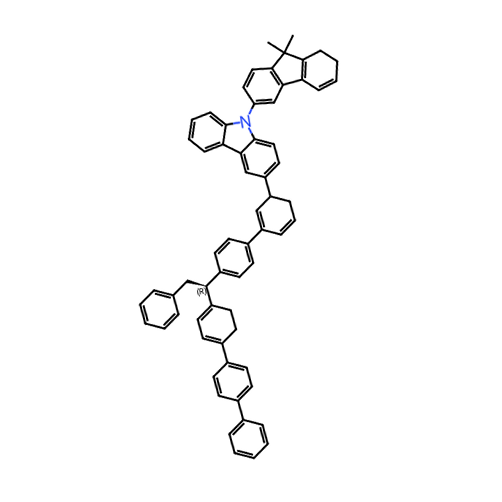 CC1(C)C2=C(C=CCC2)c2cc(-n3c4ccccc4c4cc(C5C=C(c6ccc([C@H](Cc7ccccc7)C7=CC=C(c8ccc(-c9ccccc9)cc8)CC7)cc6)C=CC5)ccc43)ccc21